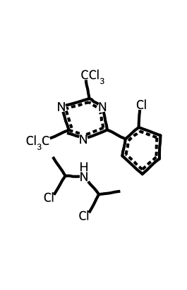 CC(Cl)NC(C)Cl.Clc1ccccc1-c1nc(C(Cl)(Cl)Cl)nc(C(Cl)(Cl)Cl)n1